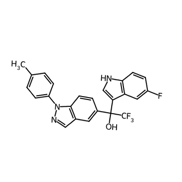 Cc1ccc(-n2ncc3cc(C(O)(c4c[nH]c5ccc(F)cc45)C(F)(F)F)ccc32)cc1